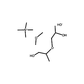 CC(O)COC(C)CO.COC.C[N+](C)(C)C.[OH-]